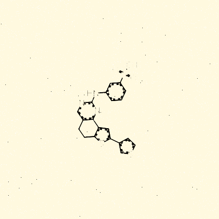 CS(=O)(=O)c1cccc(Nc2ncc3c(n2)-c2cc(-c4ccsc4)sc2CC3)c1